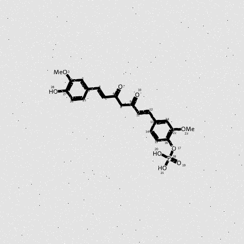 COc1cc(/C=C/C(=O)CC(=O)/C=C/c2ccc(OP(=O)(O)O)c(OC)c2)ccc1O